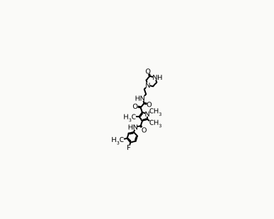 Cc1cc(NC(=O)c2c(C)c(C(=O)C(=O)NCCN3CCNC(=O)C3)n(C)c2C)ccc1F